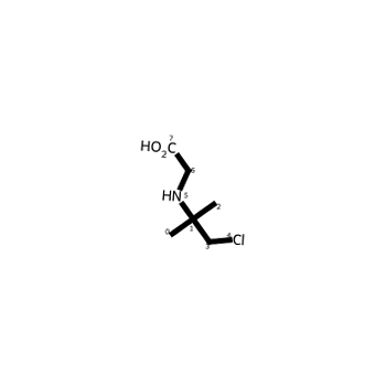 CC(C)(CCl)NCC(=O)O